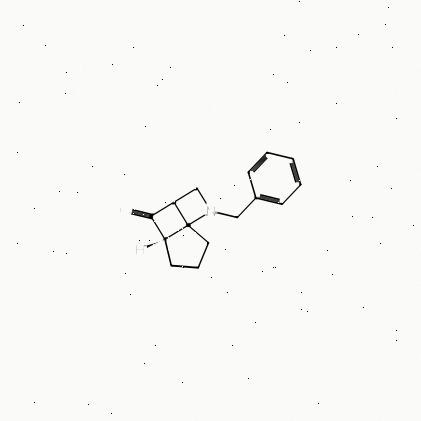 O=C1C2CN(Cc3ccccc3)C23CCC[C@H]13